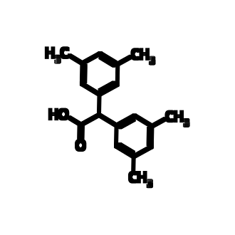 Cc1cc(C)cc(C(C(=O)O)c2cc(C)cc(C)c2)c1